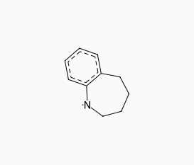 c1ccc2c(c1)CCCC[N]2